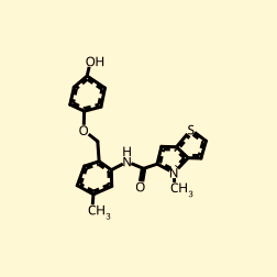 Cc1ccc(COc2ccc(O)cc2)c(NC(=O)c2cc3sccc3n2C)c1